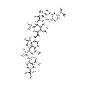 Nc1c(N=Nc2ccc3c(O)c(N=Nc4ccc(S(=O)(=O)O)cc4C(=O)O)c(S(=O)(=O)O)cc3c2S(=O)(=O)O)cc(S(=O)(=O)O)c2cc(S(=O)(=O)O)c(N=Nc3ccc([N+](=O)[O-])cc3C(=O)O)c(O)c12